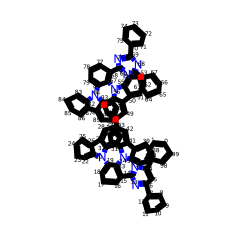 c1ccc(-c2cc(-c3ccccc3)nc(-c3cccc(-n4c5ccccc5c5ccccc54)c3-n3c4ccccc4c4cc(-c5ccc6c(c5)c5ccccc5n6-c5c(-c6nc(-c7ccccc7)nc(-c7ccccc7)n6)cccc5-n5c6ccccc6c6ccccc65)ccc43)n2)cc1